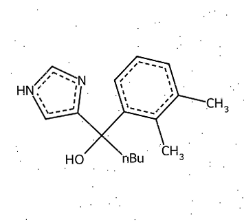 CCCCC(O)(c1c[nH]cn1)c1cccc(C)c1C